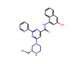 N#CC[C@H]1CN(c2cc(C(=O)Nc3cc(O)cc4ccccc34)nc(-c3ccccn3)n2)CCN1